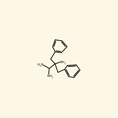 NC(N)C(N)(Cc1ccccc1)Cc1ccccc1